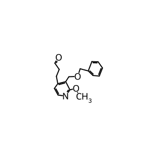 COc1nccc(CCC=O)c1COCc1ccccc1